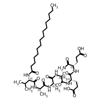 CCCCCCCCCCCCCCCC(=O)N[C@H](C(=O)N[C@@H](C)C(=O)N[C@@H](C)C(=O)N[C@@H](C)C(=O)N[C@@H](CCC(=O)O)C(=O)N[C@@H](CCC(=O)O)C(N)=O)C(C)C